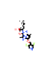 Cc1cc(OCc2c(F)cncc2F)c2nc(C)c(C(=O)NC(CCCC(F)(F)F)C(C)(C)O)n2c1